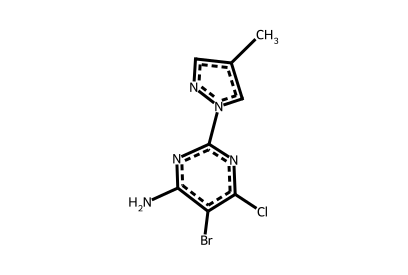 Cc1cnn(-c2nc(N)c(Br)c(Cl)n2)c1